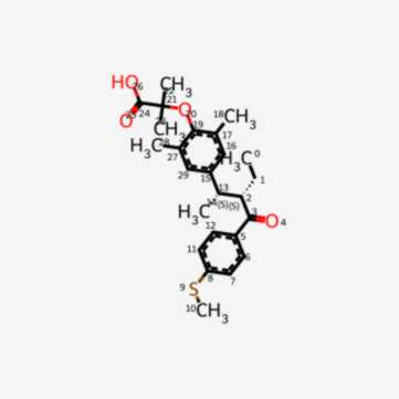 CC[C@H](C(=O)c1ccc(SC)cc1)[C@H](C)c1cc(C)c(OC(C)(C)C(=O)O)c(C)c1